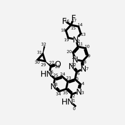 CNc1ncc(-c2nc3ccc(N4CCC(F)(F)CC4)cn3n2)c2cc(NC(=O)[C@H]3C[C@H]3C)ncc12